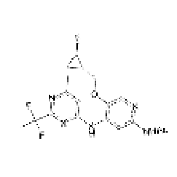 CC(=O)Nc1cc(Nc2cc(C)nc(C(C)(F)F)n2)c(OC[C@@H]2C[C@H]2F)cn1